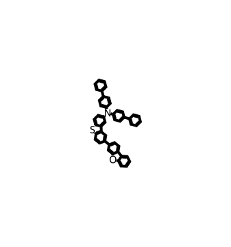 c1ccc(-c2ccc(N(c3ccc(-c4ccccc4)cc3)c3ccc4sc5ccc(-c6ccc7c(c6)oc6ccccc67)cc5c4c3)cc2)cc1